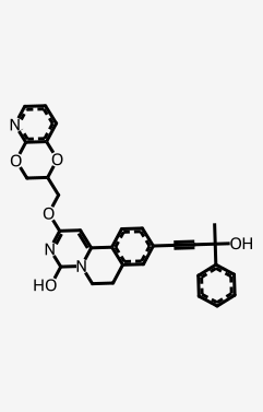 CC(O)(C#Cc1ccc2c(c1)CCN1C2=CC(OCC2COc3ncccc3O2)=NC1O)c1ccccc1